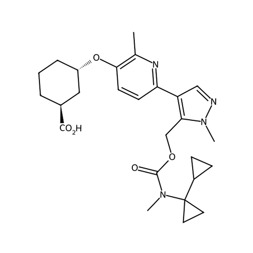 Cc1nc(-c2cnn(C)c2COC(=O)N(C)C2(C3CC3)CC2)ccc1O[C@H]1CCC[C@H](C(=O)O)C1